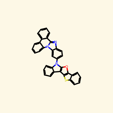 c1ccc2c(c1)sc1c2oc2c1c1ccccc1n2-c1ccc2nc3c4ccccc4c4ccccc4n3c2c1